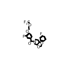 O=C(c1ccc(OCCOC(F)(F)F)c(F)c1)N1CC[C@@]2(c3cccc(F)c3)OCOC2C1